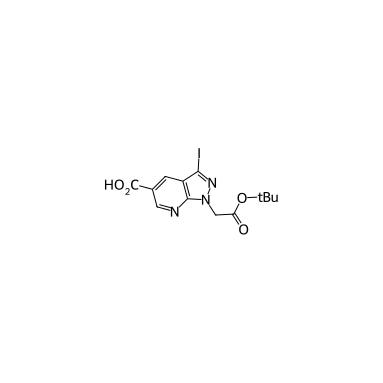 CC(C)(C)OC(=O)Cn1nc(I)c2cc(C(=O)O)cnc21